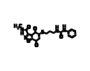 CNC(=O)c1noc2c1C(=O)C(SCCCNC(=O)Nc1ccccc1)=CC2=O